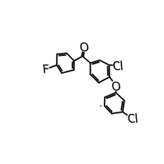 O=C(c1ccc(F)cc1)c1ccc(Oc2c[c]cc(Cl)c2)c(Cl)c1